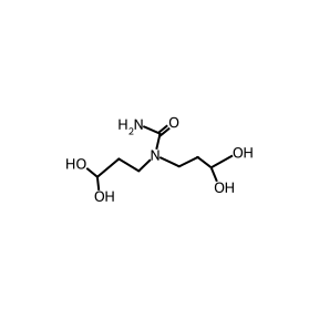 NC(=O)N(CCC(O)O)CCC(O)O